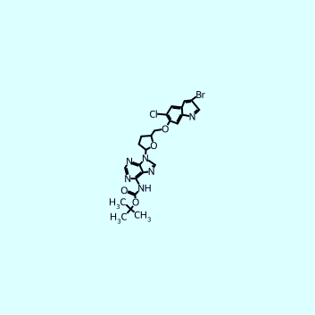 CC(C)(C)OC(=O)Nc1ncnc2c1ncn2C1CCC(COc2cc3ncc(Br)cc3cc2Cl)O1